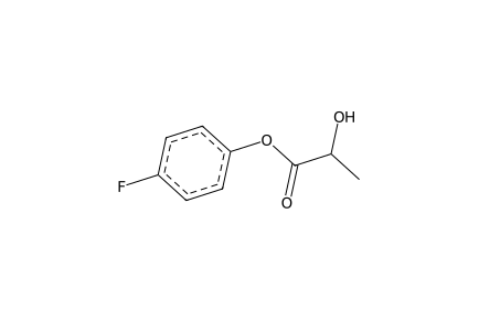 CC(O)C(=O)Oc1ccc(F)cc1